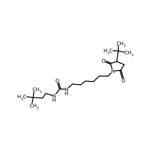 CC(C)(C)CCNC(=O)NCCCCCCN1C(=O)CC(C(C)(C)C)C1=O